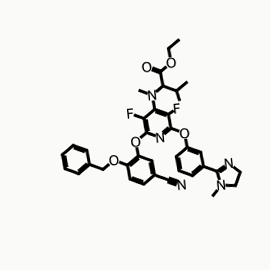 CCOC(=O)C(C(C)C)N(C)c1c(F)c(Oc2cccc(C3=NCCN3C)c2)nc(Oc2cc(C#N)ccc2OCc2ccccc2)c1F